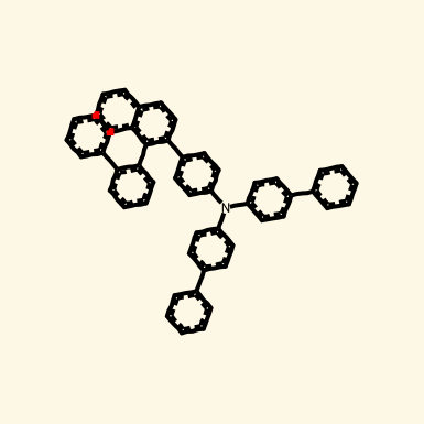 c1ccc(-c2ccc(N(c3ccc(-c4ccccc4)cc3)c3ccc(-c4ccc5ccccc5c4-c4ccccc4-c4ccccc4)cc3)cc2)cc1